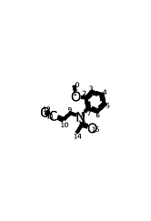 COc1ccccc1N(CC=C=O)C(C)=O